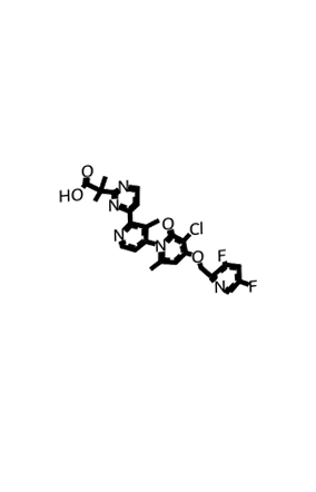 Cc1c(-n2c(C)cc(OCc3ncc(F)cc3F)c(Cl)c2=O)ccnc1-c1ccnc(C(C)(C)C(=O)O)n1